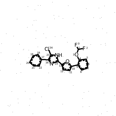 FC(F)Oc1ccccc1-c1ccc(-c2nc(-c3ccccc3)c(Cl)[nH]2)o1